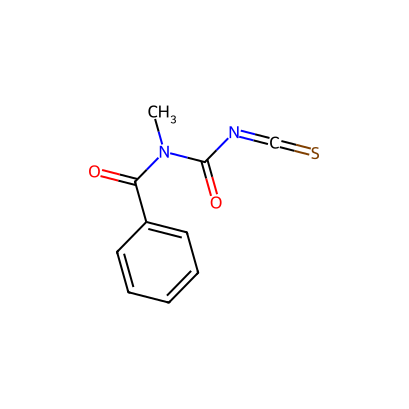 CN(C(=O)N=C=S)C(=O)c1ccccc1